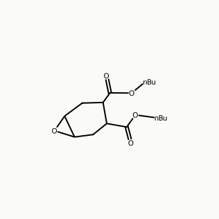 CCCCOC(=O)C1CC2OC2CC1C(=O)OCCCC